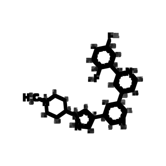 CN1CCC(n2cc(-c3cncc(-c4ccnc(-c5cc(F)ccc5F)c4)c3)cn2)CC1